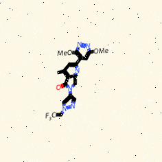 COc1cc(-c2cc(C)c3c(n2)CN(c2cnn(CC(F)(F)F)c2)C3=O)c(OC)nn1